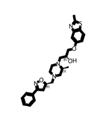 Cc1nc2cc(OC[C@H](O)CN3CCN(C[C@H]4CC(c5ccccc5)=NO4)C[C@@H]3C)ccc2s1